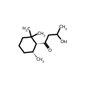 CC(O)CC(=O)[C@@H]1[C@H](C)CCCC1(C)C